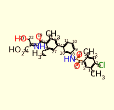 Cc1cc(S(=O)(=O)Nc2cccc(-c3cc(C)c(C(=O)N[C@H](CO)C(=O)O)c(C)c3)c2)c(C)cc1Cl